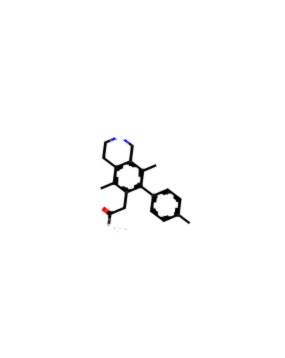 COC(=O)Cc1c(C)c2c(c(C)c1-c1ccc(C)cc1)CNCC2